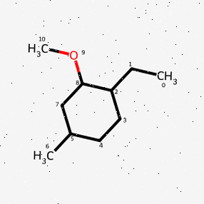 CCC1CCC(C)CC1OC